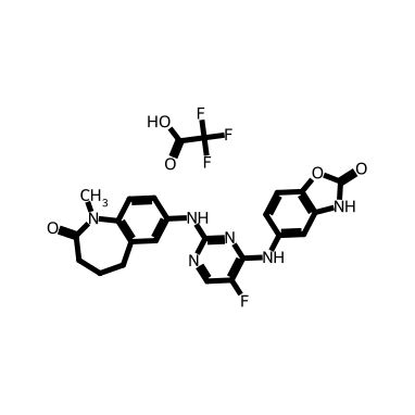 CN1C(=O)CCCc2cc(Nc3ncc(F)c(Nc4ccc5oc(=O)[nH]c5c4)n3)ccc21.O=C(O)C(F)(F)F